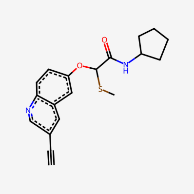 C#Cc1cnc2ccc(OC(SC)C(=O)NC3CCCC3)cc2c1